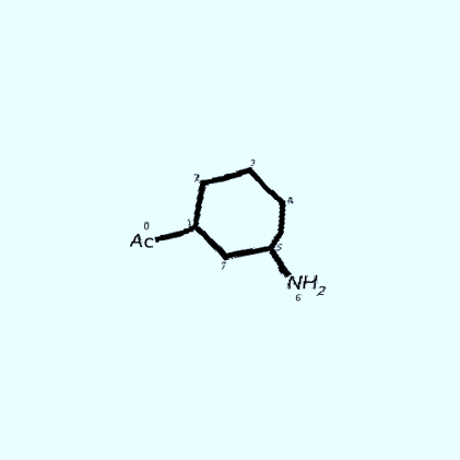 CC(=O)C1CCCC(N)C1